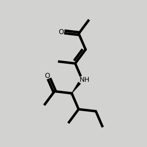 CCC(C)[C@H](N/C(C)=C/C(C)=O)C(C)=O